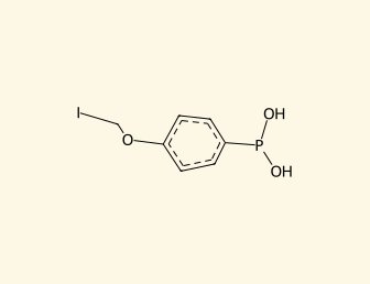 OP(O)c1ccc(OCI)cc1